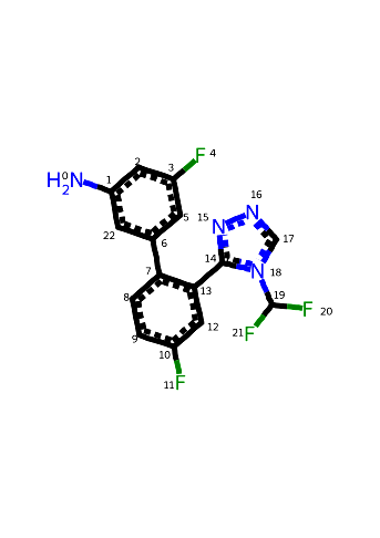 Nc1cc(F)cc(-c2ccc(F)cc2-c2nncn2C(F)F)c1